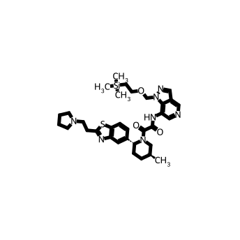 C[C@H]1CC[C@H](c2ccc3sc(CCN4CCCC4)nc3c2)N(C(=O)C(=O)Nc2cncc3cnn(COCC[Si](C)(C)C)c23)C1